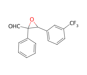 O=CC1(c2ccccc2)OC1c1cccc(C(F)(F)F)c1